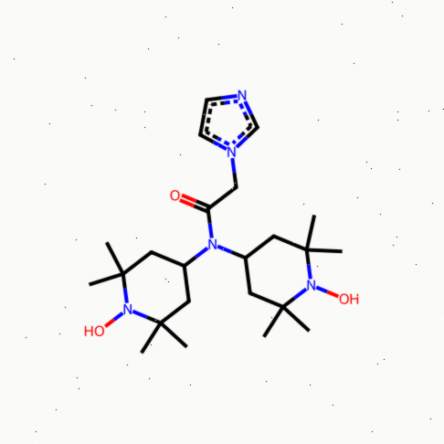 CC1(C)CC(N(C(=O)Cn2ccnc2)C2CC(C)(C)N(O)C(C)(C)C2)CC(C)(C)N1O